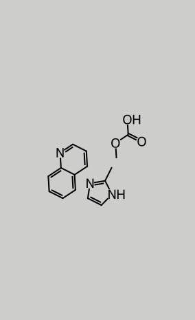 COC(=O)O.Cc1ncc[nH]1.c1ccc2ncccc2c1